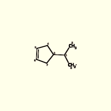 [CH2]C(C)C1CC=CC1